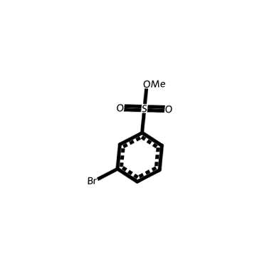 [CH2]OS(=O)(=O)c1cccc(Br)c1